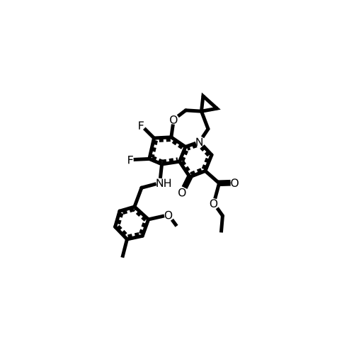 CCOC(=O)c1cn2c3c(c(F)c(F)c(NCc4ccc(C)cc4OC)c3c1=O)OCC1(CC1)C2